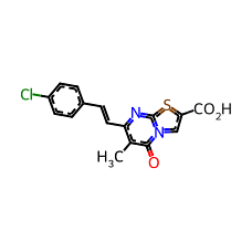 Cc1c(/C=C/c2ccc(Cl)cc2)nc2sc(C(=O)O)cn2c1=O